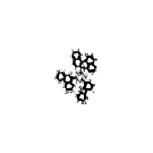 c1ccc2c3c(ccc2c1)N(c1nc(-c2cc4ccccc4c4ccccc24)nc(-c2cccc4c2sc2ccccc24)n1)c1cccc2cccc-3c12